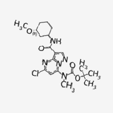 CO[C@@H]1CCCC(NC(=O)c2cnn3c(N(C)C(=O)OC(C)(C)C)cc(Cl)nc23)C1